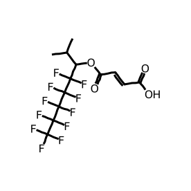 CC(C)C(OC(=O)C=CC(=O)O)C(F)(F)C(F)(F)C(F)(F)C(F)(F)C(F)(F)F